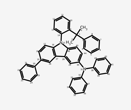 CC(C)(c1ccccc1)c1ccccc1-n1c2ccc(-c3ccccc3)cc2c2cc(N(c3ccccc3)c3ccccc3)ccc21